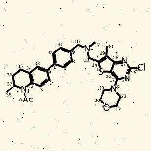 CC(=O)N1c2ccc(-c3ccc(CN(C)Cc4sc5c(N6CCOCC6)nc(Cl)nc5c4C)cc3)cc2CC[C@@H]1C